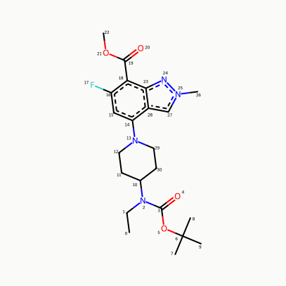 CCN(C(=O)OC(C)(C)C)C1CCN(c2cc(F)c(C(=O)OC)c3nn(C)cc23)CC1